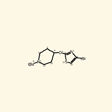 CC(C)(C)N1CCC(Oc2nc(Br)cs2)CC1